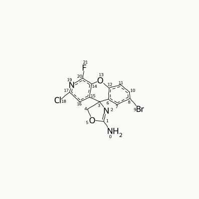 NC1=NC2(CO1)c1cc(Br)ccc1Oc1c2cc(Cl)nc1F